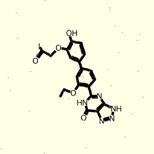 CCOc1cc(-c2ccc(O)c(OCC(=O)I)c2)ccc1-c1nc2[nH]nnc2c(=O)[nH]1